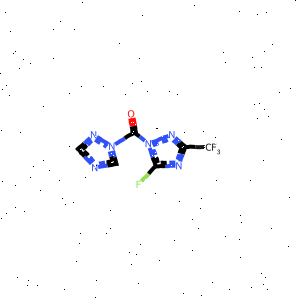 O=C(n1cncn1)n1nc(C(F)(F)F)nc1F